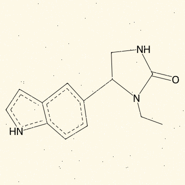 CCN1C(=O)NCC1c1ccc2[nH]ccc2c1